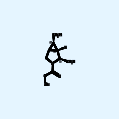 CCOC(=O)[C@@H]1C2CN(C(=O)OC(C)(C)C)[C@H](C(=O)O)[C@H]21